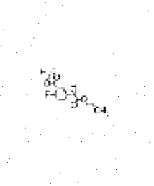 C=CCOC(=O)Nc1ccc(F)c(C(=O)OC)c1